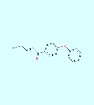 CC(C)C/C=C/C(=O)c1ccc(Oc2ccccc2)cc1